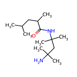 CC(C)CC(C)C(=O)NC(C)(C)CC(C)(C)N